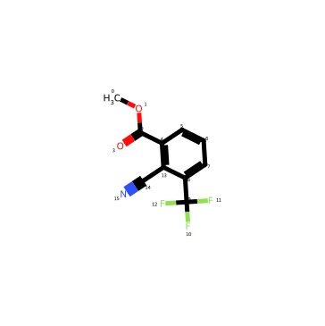 COC(=O)c1cccc(C(F)(F)F)c1C#N